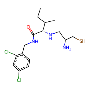 CCC(C)[C@H](NCC(N)CS)C(=O)NCc1ccc(Cl)cc1Cl